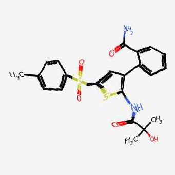 Cc1ccc(S(=O)(=O)c2cc(-c3ccccc3C(N)=O)c(NC(=O)C(C)(C)O)s2)cc1